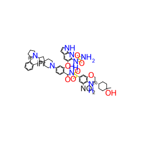 CC(C)c1ccccc1[C@H]1CCCN1C1CC2(CCN(c3ccc(C(=O)NS(=O)(=O)c4cc5c(c([N+](=O)[O-])c4)N[C@@H](C4CCC(C)(O)CC4)CO5)c(Oc4cc5cc[nH]c5nc4NS(N)(=O)=O)c3)CC2)C1